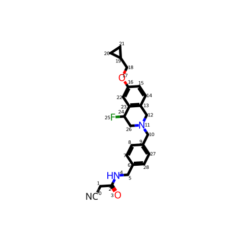 N#CCC(=O)NCc1ccc(CN2Cc3ccc(OCC4CC4)cc3C(F)C2)cc1